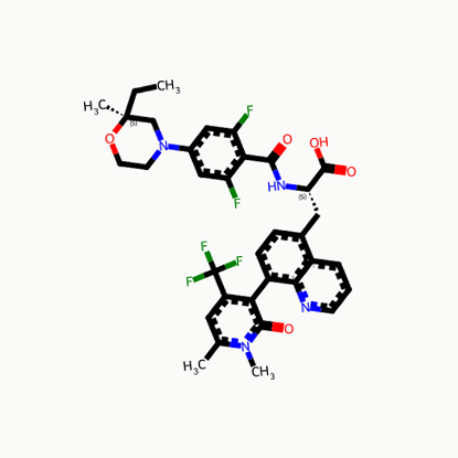 CC[C@@]1(C)CN(c2cc(F)c(C(=O)N[C@@H](Cc3ccc(-c4c(C(F)(F)F)cc(C)n(C)c4=O)c4ncccc34)C(=O)O)c(F)c2)CCO1